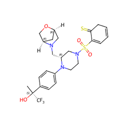 C[C@](O)(c1ccc(N2CCN(S(=O)(=O)C3=CC=CCC3=S)C[C@H]2CN2C[C@H]3C[C@@H]2CO3)cc1)C(F)(F)F